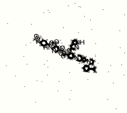 CS(C)(=O)=NC1CCC(CNc2ncc(S(=O)(=O)NC(=O)c3ccc(N4CCC5(CC4)CC(N4CCC[C@@H]4c4ccccc4C4CC4)C5)cc3Oc3cnc4[nH]ccc4c3)cc2[N+](=O)[O-])CC1